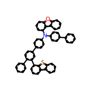 c1ccc(-c2ccc(N(c3ccc(-c4ccc(-c5ccccc5)c(-c5cccc6c5sc5ccccc56)c4)cc3)c3cccc4oc5ccccc5c34)cc2)cc1